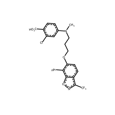 CCCc1c(OCCCN(C)c2ccc(C(=O)O)c(Cl)c2)ccc2c(C(F)(F)F)noc12